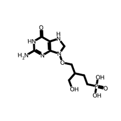 Nc1nc2c(c(=O)[nH]1)NCN2OCC(CO)CCP(=O)(O)O